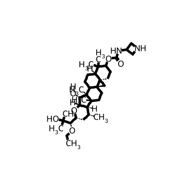 CCO[C@@H]([C@H]1C[C@@H](C)[C@H]2[C@H](O1)[C@H](O)[C@@]1(C)C3CC[C@H]4C(C)(C)C(OC(=O)NC5CNC5)CC[C@@]45C[C@@]35CC[C@]21C)C(C)(C)O